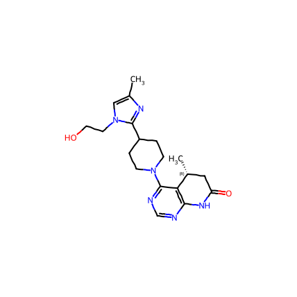 Cc1cn(CCO)c(C2CCN(c3ncnc4c3[C@H](C)CC(=O)N4)CC2)n1